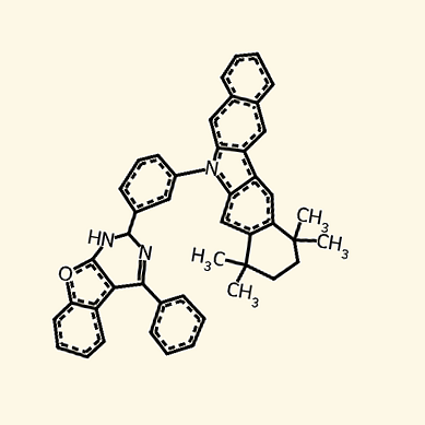 CC1(C)CCC(C)(C)c2cc3c(cc21)c1cc2ccccc2cc1n3-c1cccc(C2N=C(c3ccccc3)c3c(oc4ccccc34)N2)c1